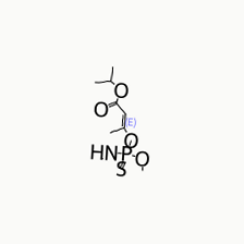 CNP(=S)(OC)O/C(C)=C/C(=O)OC(C)C